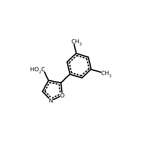 Cc1cc(C)cc(-c2oncc2C(=O)O)c1